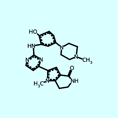 CN1CCN(c2ccc(O)c(Nc3nccc(-c4cc5c(n4C)CCNC5=O)n3)c2)CC1